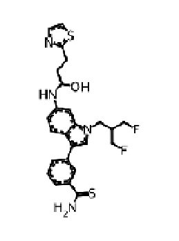 NC(=S)c1cccc(-c2cn(CC(CF)CF)c3cc(NC(O)CCc4nccs4)ccc23)c1